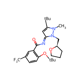 Cn1c(C(C)(C)C)c/c(=N\C(=O)c2cc(C(F)(F)F)ccc2OC(C)(C)C)n1C[C@H]1CCCO1